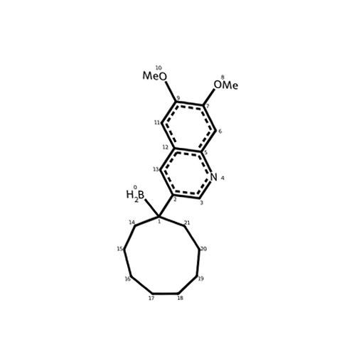 BC1(c2cnc3cc(OC)c(OC)cc3c2)CCCCCCCC1